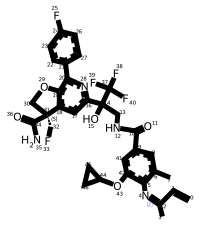 C=C/C(C)=N\c1c(C)cc(C(=O)NCC(O)(c2cc3c(c(-c4ccc(F)cc4)n2)OC[C@]3(CF)C(N)=O)C(F)(F)F)cc1OC1CC1